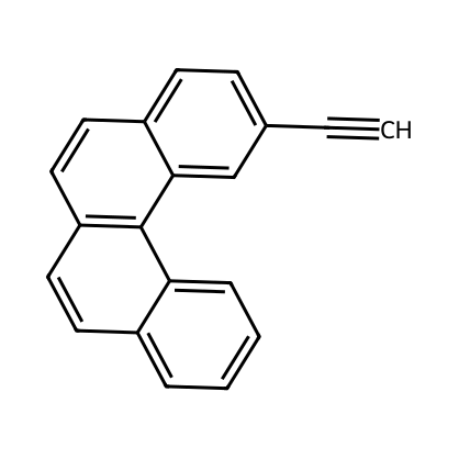 C#Cc1ccc2ccc3ccc4ccccc4c3c2c1